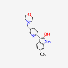 N#Cc1ccc2c(-c3ccc(CN4CCOCC4)cn3)c(O)[nH]c2c1